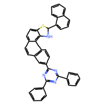 c1ccc(-c2nc(-c3ccccc3)nc(-c3ccc4c(ccc5ccc6c(c54)NC(c4cccc5ccccc45)S6)c3)n2)cc1